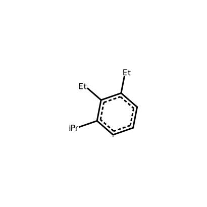 CCc1cc[c]c(C(C)C)c1CC